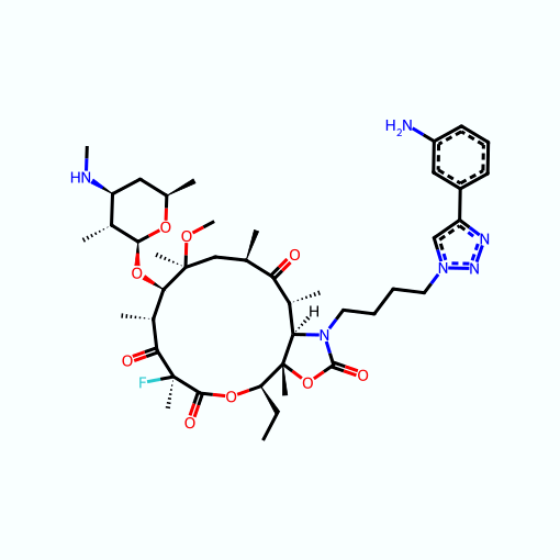 CC[C@H]1OC(=O)[C@@](C)(F)C(=O)[C@H](C)[C@@H](O[C@@H]2O[C@H](C)C[C@H](NC)[C@H]2C)[C@@](C)(OC)C[C@@H](C)C(=O)[C@H](C)[C@H]2N(CCCCn3cc(-c4cccc(N)c4)nn3)C(=O)O[C@]12C